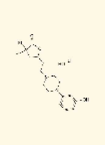 CCC1(CC)CC(CCN2CCN(c3cccc(O)c3)CC2)OC1=O.Cl.Cl